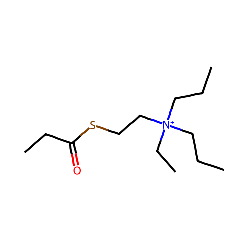 CCC[N+](CC)(CCC)CCSC(=O)CC